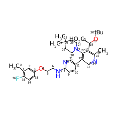 Cc1cc(OCCNc2ccc(-c3cnc(C)c([C@H](OC(C)(C)C)C(=O)O)c3N3CCC(C)(C)CC3)cn2)ccc1F